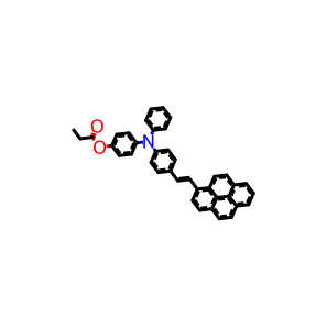 CCC(=O)Oc1ccc(N(c2ccccc2)c2ccc(C=Cc3ccc4ccc5cccc6ccc3c4c56)cc2)cc1